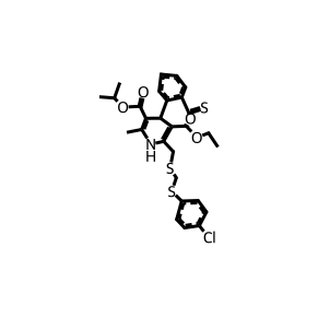 CCOC(=O)C1=C(CSCSc2ccc(Cl)cc2)NC(C)=C(C(=O)OC(C)C)C1c1ccccc1C=S